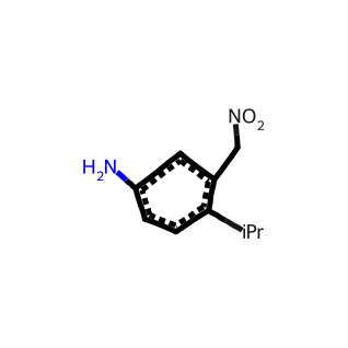 CC(C)c1ccc(N)cc1C[N+](=O)[O-]